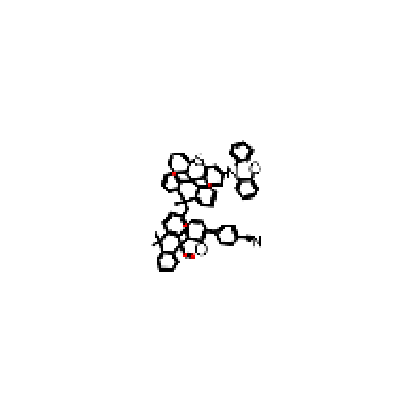 CC1(C)c2ccccc2C2(c3ccccc3Oc3c(-c4ccc(C#N)cc4)cccc32)c2cc(CC3(C)c4ccccc4C4(c5ccccc5Sc5cc(N6c7ccccc7Oc7ccccc76)ccc54)c4ccccc43)ccc21